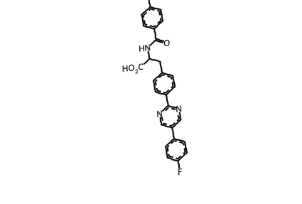 CC(C)(C)c1ccc(C(=O)NC(Cc2ccc(-c3ncc(-c4ccc(F)cc4)cn3)cc2)C(=O)O)cc1